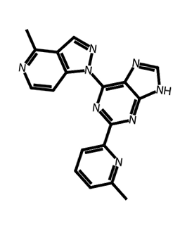 Cc1cccc(-c2nc(-n3ncc4c(C)nccc43)c3nc[nH]c3n2)n1